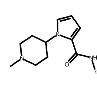 CC(C)NC(=O)c1cccn1C1CCN(C)CC1